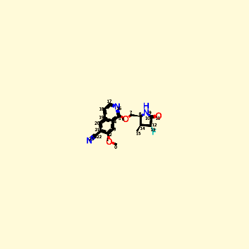 COc1cc2c(OC[C@H]3NC(=O)[C@H](F)[C@H]3C)nccc2cc1C#N